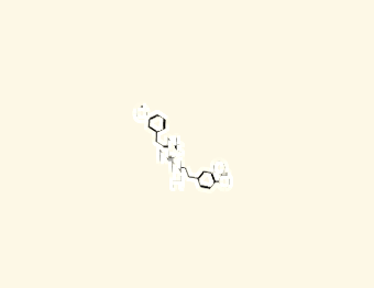 COc1cccc(Cc2nsc(NCCc3ccc4c(c3)OCO4)n2)c1